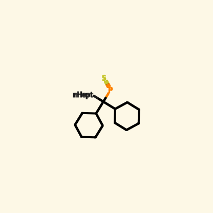 CCCCCCCC(P=S)(C1CCCCC1)C1CCCCC1